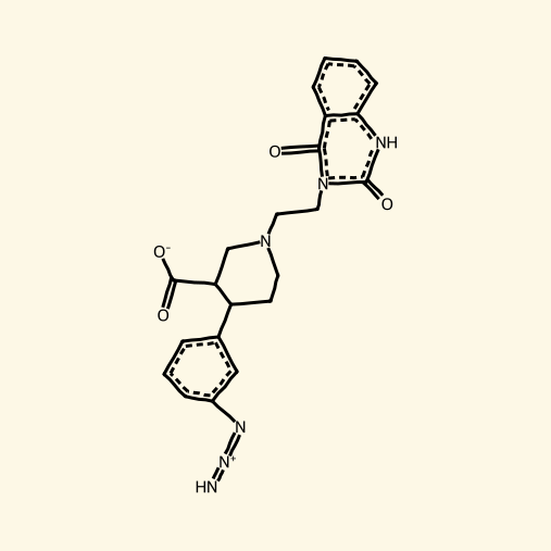 N=[N+]=Nc1cccc(C2CCN(CCn3c(=O)[nH]c4ccccc4c3=O)CC2C(=O)[O-])c1